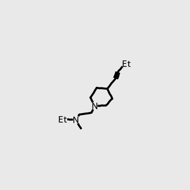 CCC#CC1CCN(CCN(C)CC)CC1